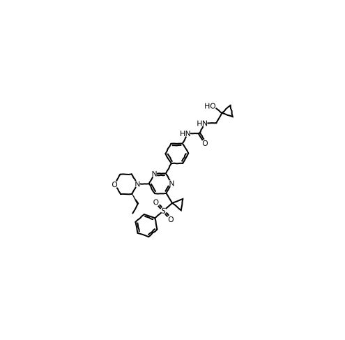 CC[C@H]1COCCN1c1cc(C2(S(=O)(=O)c3ccccc3)CC2)nc(-c2ccc(NC(=O)NCC3(O)CC3)cc2)n1